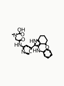 CN(CC(=O)Nc1cc(-c2[nH]c3c(c2Nc2ccccc2)C(=O)CCC3)ccn1)C(=O)O